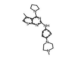 Cc1csc2nc(Nc3ccc(N4CCN(C)CC4)cc3)nc(N3CCCC3)c12